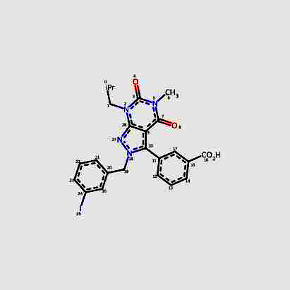 CC(C)Cn1c(=O)n(C)c(=O)c2c(-c3cccc(C(=O)O)c3)n(Cc3cccc(I)c3)nc21